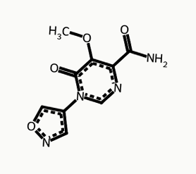 COc1c(C(N)=O)ncn(-c2cnoc2)c1=O